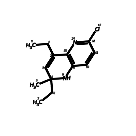 CCC1=CC(C)(CC)Nc2ccc(Cl)nc21